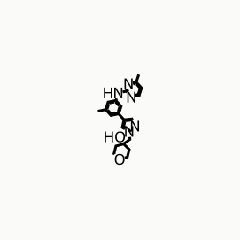 Cc1cc(Nc2nccc(C)n2)cc(-c2cnn(CC3(O)CCOCC3)c2)c1